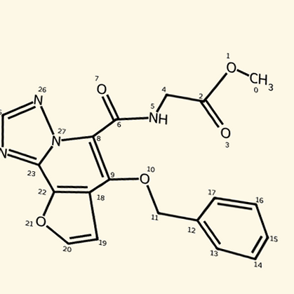 COC(=O)CNC(=O)c1c(OCc2ccccc2)c2ccoc2c2ncnn12